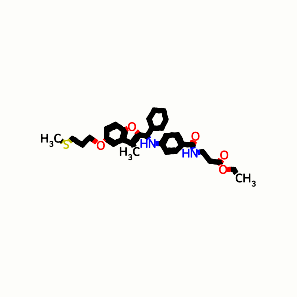 CCOC(=O)CCNC(=O)c1ccc(NC(c2oc3ccc(OCCCSC)cc3c2C)C2CCCCC2)cc1